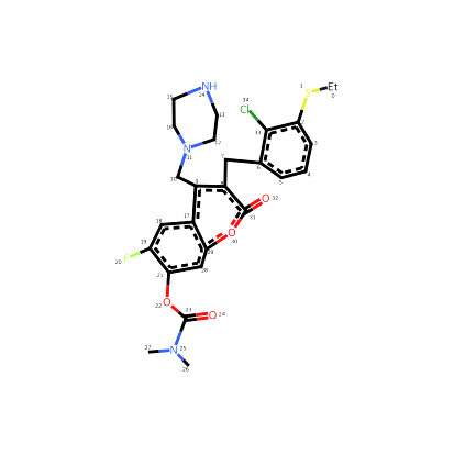 CCSc1cccc(Cc2c(CN3CCNCC3)c3cc(F)c(OC(=O)N(C)C)cc3oc2=O)c1Cl